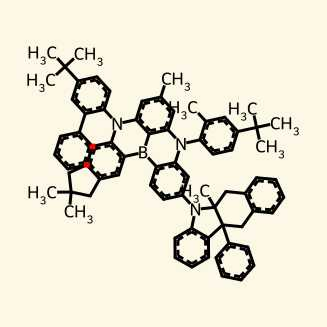 Cc1cc2c3c(c1)N(c1ccc(C(C)(C)C)cc1-c1ccccc1)c1cc4c(cc1B3c1ccc(N3c5ccccc5C5(c6ccccc6)Cc6ccccc6CC35C)cc1N2c1ccc(C(C)(C)C)cc1C)CC(C)(C)C4